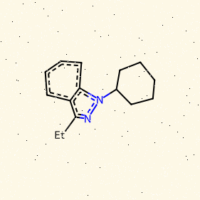 CCc1nn(C2CCCCC2)c2ccccc12